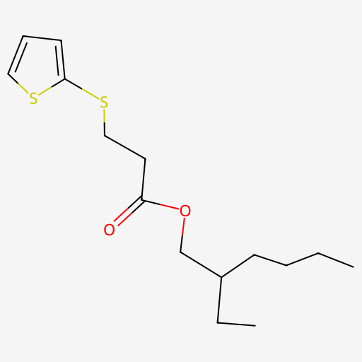 CCCCC(CC)COC(=O)CCSc1cccs1